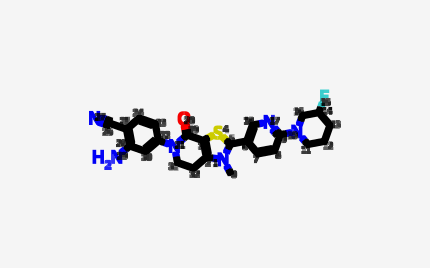 CN1C2=C(SC1c1ccc(N3CCCC(F)C3)nc1)C(=O)N(c1ccc(C#N)c(N)c1)CC2